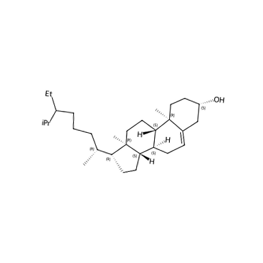 CCC(CCC[C@@H](C)[C@H]1CC[C@H]2[C@@H]3CC=C4C[C@@H](O)CC[C@]4(C)[C@H]3CC[C@]12C)C(C)C